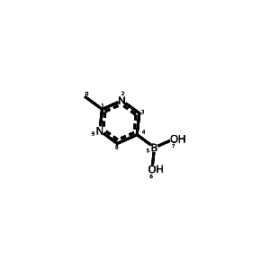 Cc1ncc(B(O)O)cn1